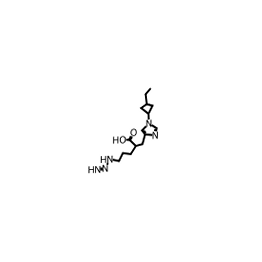 CCC1CC(n2cnc(CC(CCCNN=N)C(=O)O)c2)C1